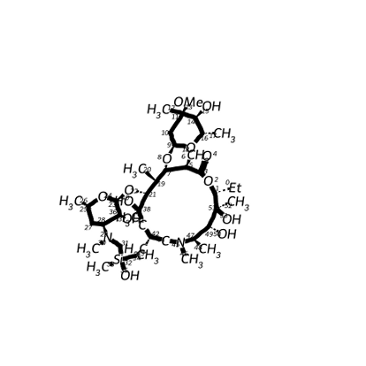 CC[C@H]1OC(=O)[C@H](C)[C@@H](O[C@H]2C[C@@](C)(OC)[C@@H](O)[C@H](C)O2)[C@H](C)[C@@H](O[C@@H]2O[C@H](C)C[C@H](N(C)C[Si](C)(C)O)[C@H]2O)[C@](C)(O)C[C@@H](C)CN(C)[C@H](C)[C@@H](O)[C@]1(C)O